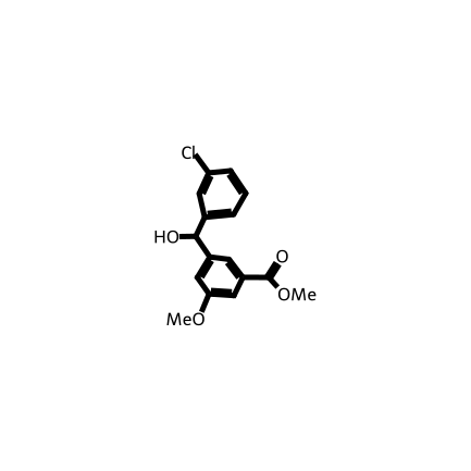 COC(=O)c1cc(OC)cc(C(O)c2cccc(Cl)c2)c1